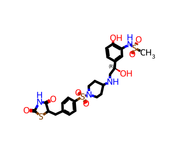 CS(=O)(=O)Nc1cc([C@@H](O)CNC2CCN(S(=O)(=O)c3ccc(CC4SC(=O)NC4=O)cc3)CC2)ccc1O